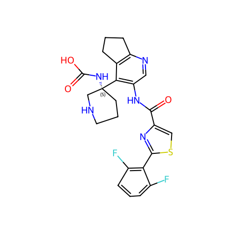 O=C(O)N[C@]1(c2c(NC(=O)c3csc(-c4c(F)cccc4F)n3)cnc3c2CCC3)CCCNC1